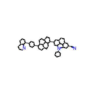 N#Cc1cc2ccc3cc(-c4ccc5ccc6c(-c7ccc(-c8cccc9cccnc89)cc7)ccc7ccc4c5c76)cc4c3c2c(c1)n4-c1ccccc1